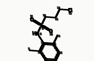 Cc1cccc(C)c1NS(=O)(=O)CCCCl